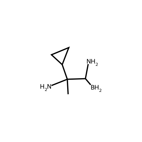 BC(N)C(C)(N)C1CC1